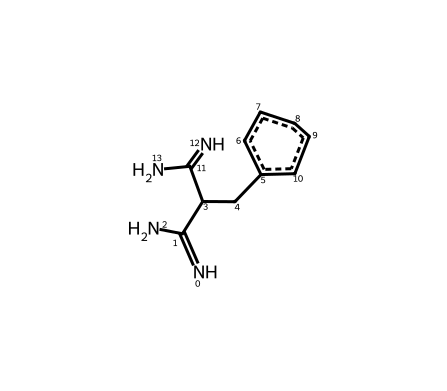 N=C(N)C(Cc1ccccc1)C(=N)N